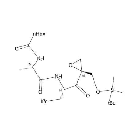 CCCCCCC(=O)N[C@@H](C)C(=O)N[C@@H](CC(C)C)C(=O)[C@@]1(CO[Si](C)(C)C(C)(C)C)CO1